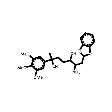 COc1cc(C(C)(C#N)CCC(O)C(CC2Oc3ccccc3O2)[N+](=O)[O-])cc(OC)c1OC